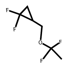 CC(F)(F)OCC1CC1(F)F